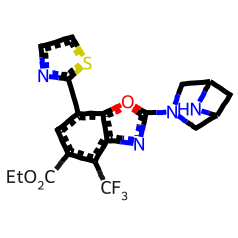 CCOC(=O)c1cc(-c2nccs2)c2oc(N3CC4CC(C3)N4)nc2c1C(F)(F)F